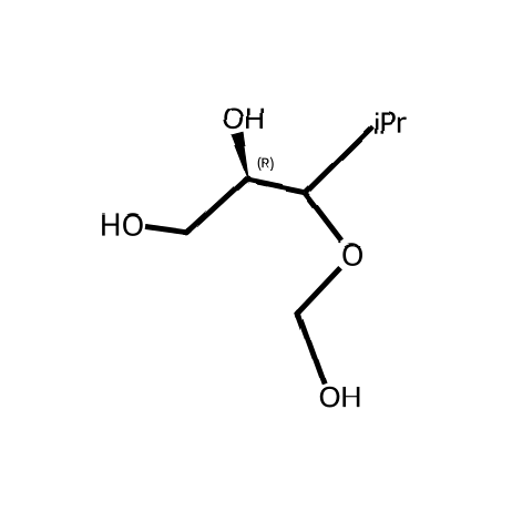 CC(C)C(OCO)[C@H](O)CO